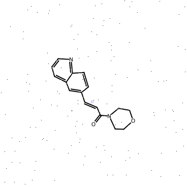 O=C(/C=C/c1ccc2ncccc2c1)N1CCOCC1